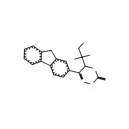 O=C1NN=C(c2ccc3c(c2)Cc2ccccc2-3)C(C(F)(F)CF)O1